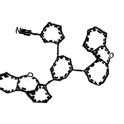 N#Cc1cccc(-c2cc(-c3cccc4c3oc3ccccc34)cc(-c3cccc4oc5ccccc5c34)c2)c1